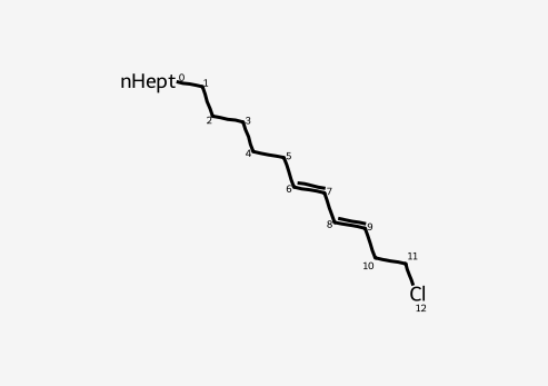 CCCCCCCCCCCCC=CC=CCCCl